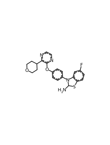 NC1Sc2ccc(F)cc2N1c1ccc(Oc2nccnc2C2CCOCC2)cc1